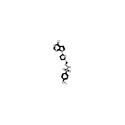 Cc1ccc(S(=O)(=O)N/N=C/[C@@H]2CC[C@H](n3ccc4c(Cl)ncnc43)O2)cc1